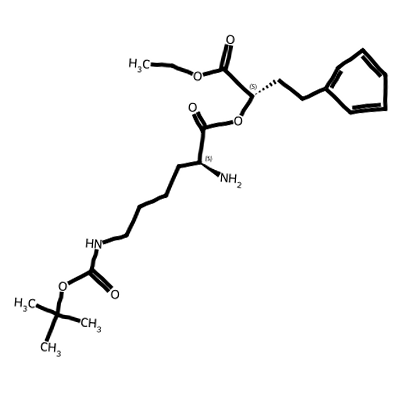 CCOC(=O)[C@H](CCc1ccccc1)OC(=O)[C@@H](N)CCCCNC(=O)OC(C)(C)C